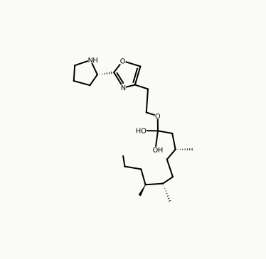 CCC[C@H](C)[C@@H](C)CC[C@@H](C)CC(O)(O)OCCc1coc([C@@H]2CCCN2)n1